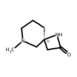 CN1CCC[C@]2(CC(=O)N2)C1